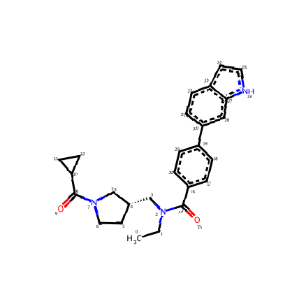 CCN(C[C@@H]1CCN(C(=O)C2CC2)C1)C(=O)c1ccc(-c2ccc3cc[nH]c3c2)cc1